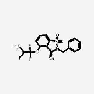 CC(F)C(F)(F)Oc1cccc2c1C(=N)N(Cc1ccccc1)S2(=O)=O